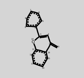 C=C1C=C(c2ccccc2)Oc2ccccc21